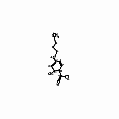 CCCCOc1ccc(C(=O)Cl)c(Cl)c1